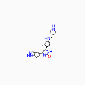 Cc1cc(NCC2CCNCC2)ccc1-c1cc(-c2ccc3[nH]ncc3c2)nc(=O)[nH]1